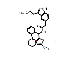 Cc1ccc(C(NC(=O)Cc2ccc3[nH]cc(CCC(=O)O)c3c2)c2ccccc2N2CCCCC2)o1